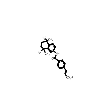 CC1(C)CCC(C)(C)c2cc(NC(=O)c3ccc(C=CC(=O)O)cc3)ccc21